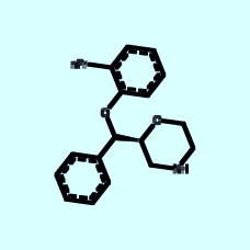 CCCc1ccccc1OC(c1ccccc1)[C@@H]1CNCCO1